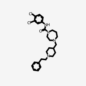 O=C(Nc1ccc(Cl)c(Cl)c1)N1CCCN(CC2CCN(CCc3ccccc3)CC2)CC1